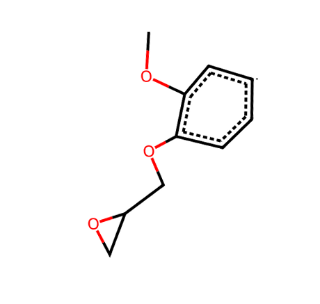 COc1c[c]ccc1OCC1CO1